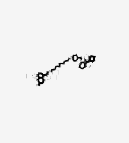 O=C(OCC1CCN(CCCCCCCCCNC[C@H](O)c2ccc(O)c3[nH]c(=O)ccc23)CC1)[C@@](O)(c1ccccc1)C1CCCCC1